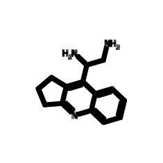 NCC(N)c1c2c(nc3ccccc13)CCC2